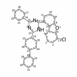 Clc1cccc2c1oc1cccc(C3N=C(c4ccccc4)N=C(c4ccc(-c5ccccc5)cc4)N3)c12